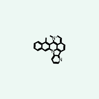 Cc1c2ccccc2cc2c1c1c3c(ccc4c5ncccc5n2c43)cc[n+]1C